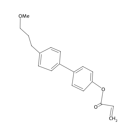 C=CC(=O)Oc1ccc(-c2ccc(CCCOC)cc2)cc1